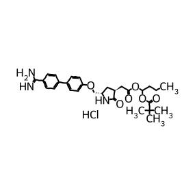 CCCC(OC(=O)C[C@@H]1C[C@@H](COc2ccc(-c3ccc(C(=N)N)cc3)cc2)NC1=O)OC(=O)C(C)(C)C.Cl